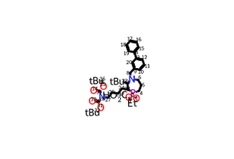 CCOP1(=O)CCCN(Cc2cccc(-c3ccccc3)c2)C(C(C)(C)C)C1(CCCCN(C(=O)OC(C)(C)C)C(=O)OC(C)(C)C)C(=O)O